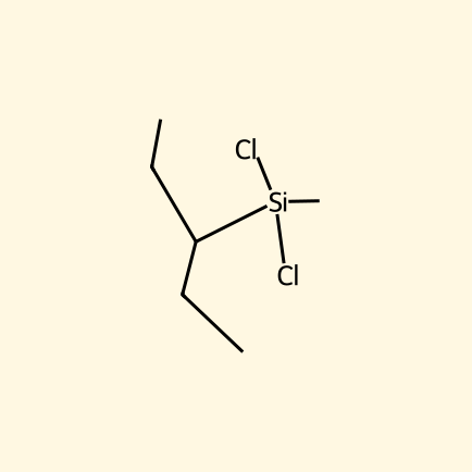 CCC(CC)[Si](C)(Cl)Cl